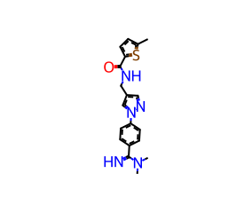 Cc1ccc(C(=O)NCc2cnn(-c3ccc(C(=N)N(C)C)cc3)c2)s1